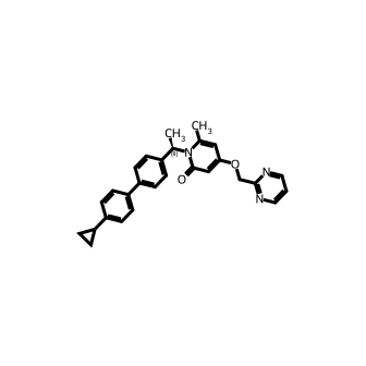 Cc1cc(OCc2ncccn2)cc(=O)n1[C@H](C)c1ccc(-c2ccc(C3CC3)cc2)cc1